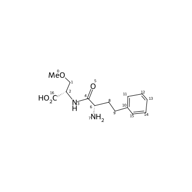 COC[C@H](NC(=O)[C@@H](N)CCc1ccccc1)C(=O)O